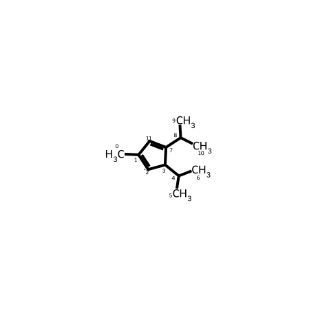 CC1=[C]C(C(C)C)C(C(C)C)=C1